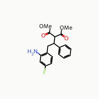 COC(=O)C(C(=O)OC)C(Cc1ccc(F)cc1N)c1ccccc1